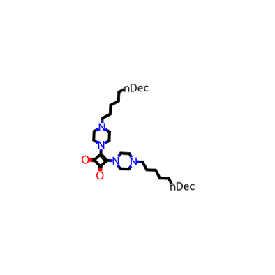 CCCCCCCCCCCCCCCN1CCN(c2c(N3CCN(CCCCCCCCCCCCCCC)CC3)c(=O)c2=O)CC1